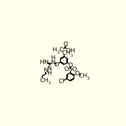 CC(=O)O.CCC=NNC(=N)NOc1cc(C)cc(OS(=O)(=O)c2cc(Cl)ccc2OC)c1